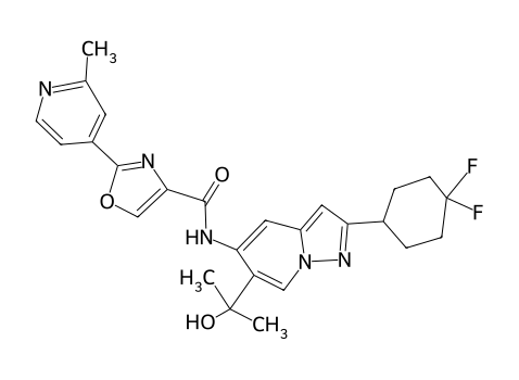 Cc1cc(-c2nc(C(=O)Nc3cc4cc(C5CCC(F)(F)CC5)nn4cc3C(C)(C)O)co2)ccn1